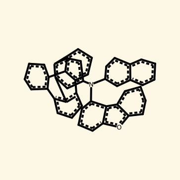 c1ccc2c(c1)-c1cccc3c1-c1cc(N(c4ccc5ccccc5c4)c4cccc5oc6ccccc6c45)ccc1-c1cccc-3c1-2